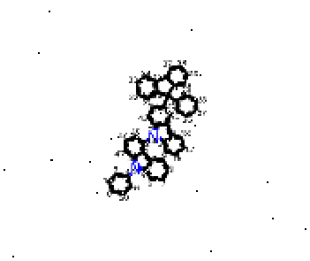 c1ccc(-n2c3ccccc3c3c(-n4c5ccccc5c5cc(C6(c7ccccc7)c7ccccc7-c7ccccc76)ccc54)cccc32)cc1